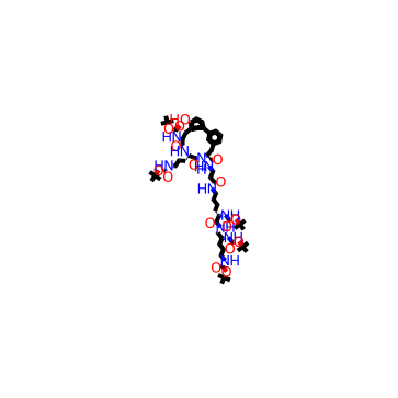 CC(C)(C)OC(=O)NCCCC(CNC(=O)[C@H](CCCCNC(=O)CCNC(=O)[C@@H]1Cc2cccc(c2)-c2ccc(O)c(c2)C[C@H](NC(=O)OC(C)(C)C)C(=O)N[C@@H](CCCNC(=O)OC(C)(C)C)C(=O)N1)NC(=O)OC(C)(C)C)NC(=O)OC(C)(C)C